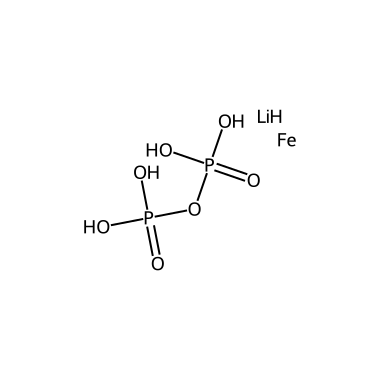 O=P(O)(O)OP(=O)(O)O.[Fe].[LiH]